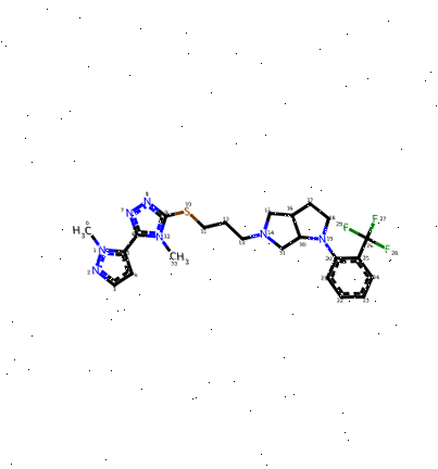 Cn1nccc1-c1nnc(SCCCN2CC3CCN(c4ccccc4C(F)(F)F)C3C2)n1C